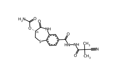 CC(C)(C#N)C(=O)NNC(=O)c1ccc2c(c1)NC(=O)[C@@H](OC(N)=O)CS2